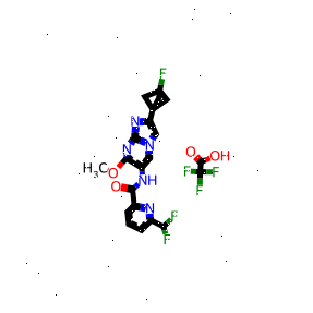 COc1nc2nc(C34CC(F)(C3)C4)cn2cc1NC(=O)c1cccc(C(F)F)n1.O=C(O)C(F)(F)F